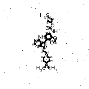 CN1CC(OC(=O)Nc2ccc(-c3nn(CCN4CCC(N(C)C)CC4)c4ncnc(N)c34)c3c2OCO3)C1